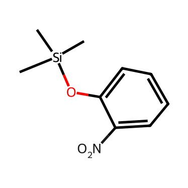 C[Si](C)(C)Oc1ccccc1[N+](=O)[O-]